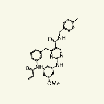 C=CC(=O)Nc1cccc(Cc2nc(Nc3cccc(OC)c3)ncc2C(=O)NCc2ccc(C)cc2)c1